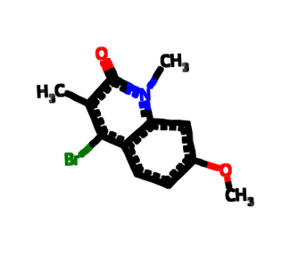 COc1ccc2c(Br)c(C)c(=O)n(C)c2c1